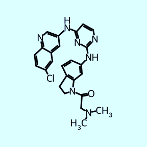 CN(C)CC(=O)N1CCc2ccc(Nc3nccc(Nc4cnc5ccc(Cl)cc5c4)n3)cc21